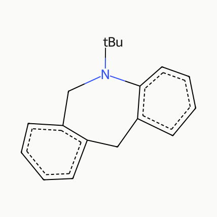 CC(C)(C)N1Cc2ccccc2Cc2ccccc21